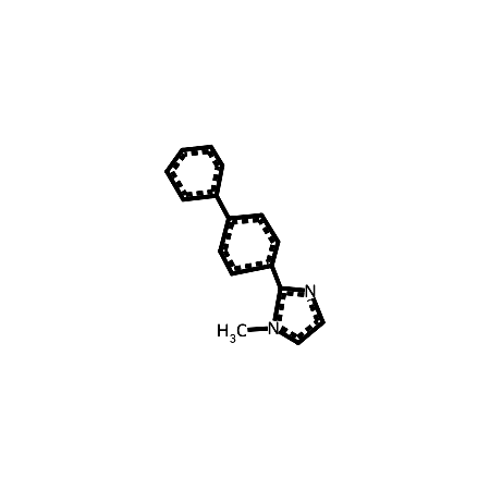 Cn1ccnc1-c1ccc(-c2ccccc2)cc1